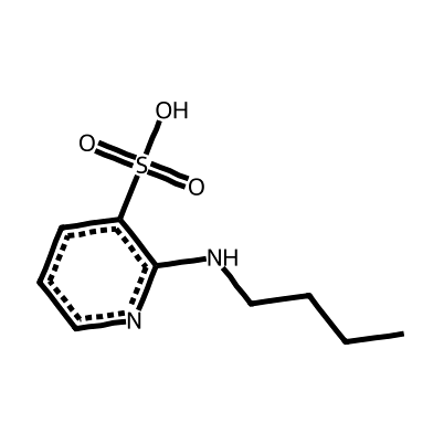 CCCCNc1ncccc1S(=O)(=O)O